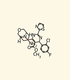 COC(=O)C1=C(CN2C3COC[C@H]2CC(N)C3)NC(c2nccs2)=NC1c1ccc(F)cc1Cl